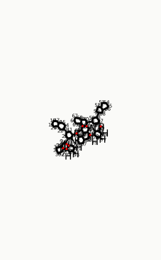 [2H]c1c([2H])c([2H])c(N(c2c(F)cc(-c3ccc4ccccc4c3)cc2-c2ccc3ccccc3c2)c2ccc3ccc4c(N(c5c(F)cc(-c6ccc7ccccc7c6)cc5-c5ccc6ccccc6c5)c5c([2H])c([2H])c([2H])c([2H])c5[2H])ccc5ccc2c3c54)c([2H])c1[2H]